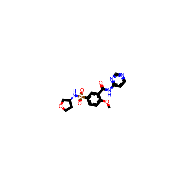 COc1ccc(S(=O)(=O)N[C@H]2CCOC2)cc1C(=O)Nc1ccncn1